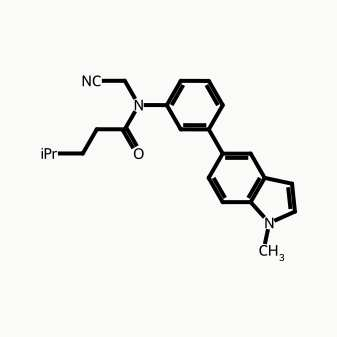 CC(C)CCC(=O)N(CC#N)c1cccc(-c2ccc3c(ccn3C)c2)c1